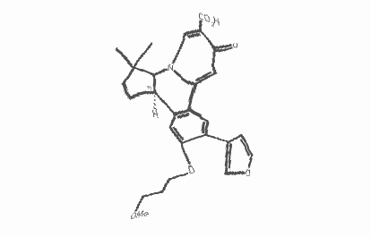 COCCCOc1cc2c(cc1-c1ccoc1)-c1cc(=O)c(C(=O)O)cn1C1[C@@H]2CCC1(C)C